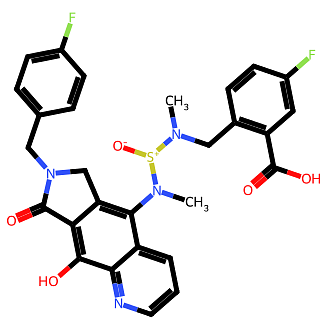 CN(Cc1ccc(F)cc1C(=O)O)[S+]([O-])N(C)c1c2c(c(O)c3ncccc13)C(=O)N(Cc1ccc(F)cc1)C2